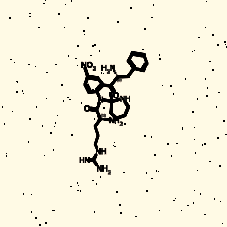 CC1(N(C(=O)[C@@H](N)CCCNC(=N)N)c2ccc([N+](=O)[O-])cc2C(=O)[C@H](N)Cc2ccccc2)CCCCN1